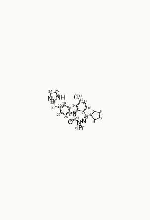 CC(C)N1N=C(C2CCCC2)c2ccc(Cl)cc2N(c2ccc(CC3=NCCN3)cc2)C1=O